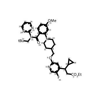 CCOC(=O)CC(c1cc(OCC2CCN(c3cc(OC)ccc3C(=O)N(CC(C)(C)C)c3ncccn3)CC2)ncc1F)C1CC1